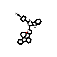 N#Cc1ccc(-c2nc(-c3ccc(-c4cccc5c4C4(CCCCC4)c4ccccc4-5)cc3)c3oc4ccccc4c3n2)cc1